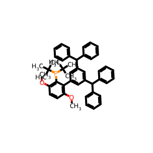 COc1ccc(OC)c(P(C(C)(C)C)C(C)(C)C)c1-c1cc(C(c2ccccc2)c2ccccc2)cc(C(c2ccccc2)c2ccccc2)c1